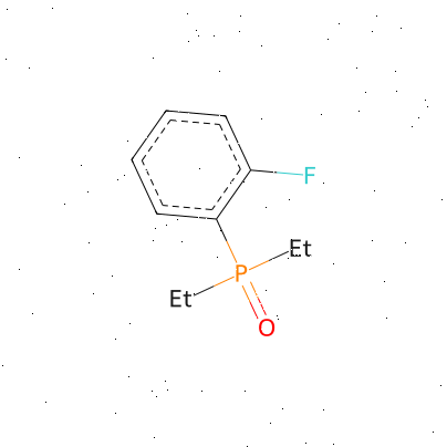 CCP(=O)(CC)c1ccccc1F